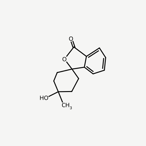 CC1(O)CCC2(CC1)OC(=O)c1ccccc12